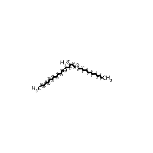 CCCCCCCCCCCCOCCC(C)CCOCCCCCCCCCCCC